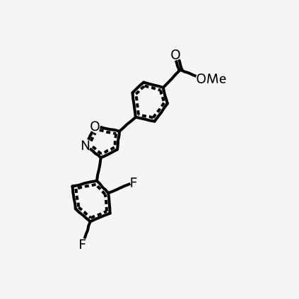 COC(=O)c1ccc(-c2cc(-c3ccc(F)cc3F)no2)cc1